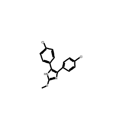 CSc1nc(-c2ccc(Cl)cc2)c(-c2ccc(Cl)cc2)[nH]1